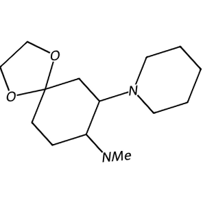 CNC1CCC2(CC1N1CCCCC1)OCCO2